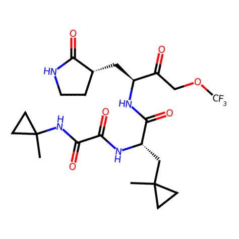 CC1(C[C@H](NC(=O)C(=O)NC2(C)CC2)C(=O)N[C@@H](C[C@@H]2CCNC2=O)C(=O)COC(F)(F)F)CC1